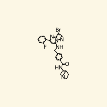 O=C(NC1CN2CCC1CC2)c1ccc(CNc2cc(-c3ccccc3F)nc3c(Br)cnn23)cc1